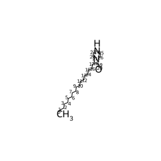 CCCCCCCCCCCCCCCCCCC([C]=O)N1CCNCC1